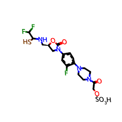 O=C(COS(=O)(=O)O)N1CCN(c2ccc(N3C[C@@H](CNC(S)C(F)F)OC3=O)cc2F)CC1